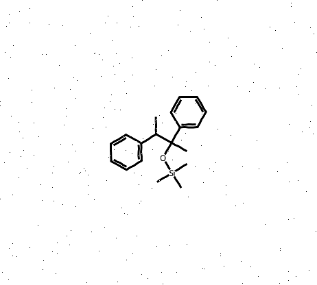 CC(c1ccccc1)C(C)(O[Si](C)(C)C)c1ccccc1